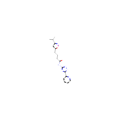 CC(C)c1cc(CCCC(=O)Nc2nnc(-c3ccccn3)[nH]2)on1